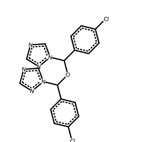 Clc1ccc(C(OC(c2ccc(Cl)cc2)n2cncn2)n2cncn2)cc1